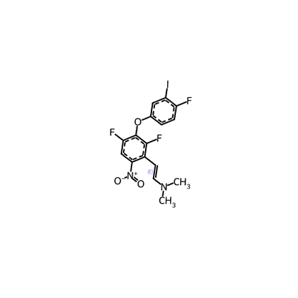 CN(C)/C=C/c1c([N+](=O)[O-])cc(F)c(Oc2ccc(F)c(I)c2)c1F